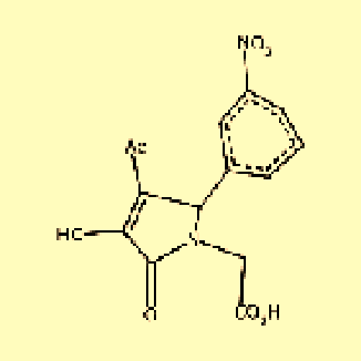 CC(=O)C1=C(O)C(=O)N(CC(=O)O)C1c1cccc([N+](=O)[O-])c1